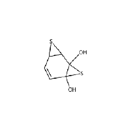 OC12C=CC3SC3C1(O)S2